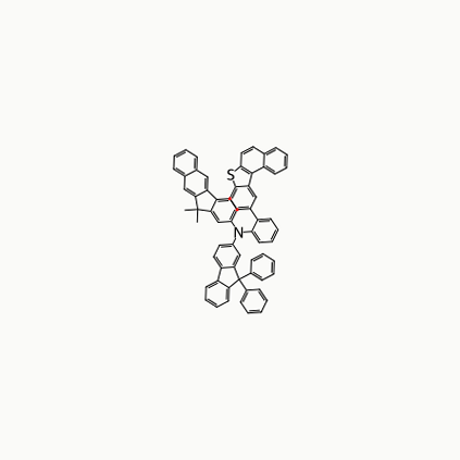 CC1(C)c2cc(N(c3ccc4c(c3)C(c3ccccc3)(c3ccccc3)c3ccccc3-4)c3ccccc3-c3ccc4sc5ccc6ccccc6c5c4c3)ccc2-c2cc3ccccc3cc21